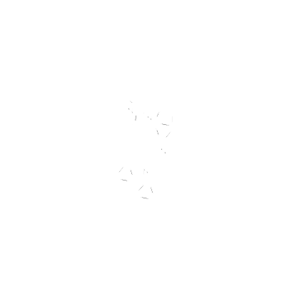 O=C1CCC(N2Cc3cc(CN4CC5(CCN(C(c6ccccc6)c6ccccc6)CC5)C4)cc(F)c3C2=O)C(=O)N1